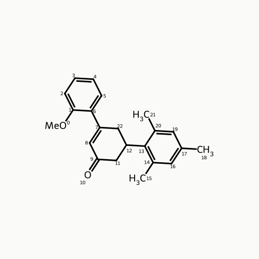 COc1ccccc1C1=CC(=O)CC(c2c(C)cc(C)cc2C)C1